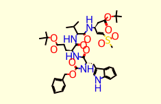 CC(C)C(NC(=O)[C@H](CCC(=O)OC(C)(C)C)NC(=O)[C@H](Cc1c[nH]c2ccccc12)NC(=O)OCc1ccccc1)C(=O)N[C@H](/C=C/S(C)(=O)=O)CC(=O)OC(C)(C)C